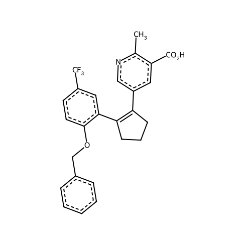 Cc1ncc(C2=C(c3cc(C(F)(F)F)ccc3OCc3ccccc3)CCC2)cc1C(=O)O